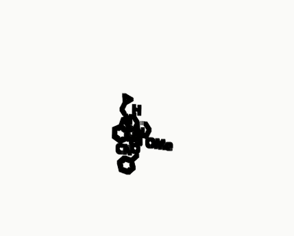 CO[C@]12CC[C@@]3(C[C@@H]1COCc1ccccc1)[C@H]1Cc4ccc(C#N)c5c4[C@@]3(CCN1CC1CC1)[C@H]2O5